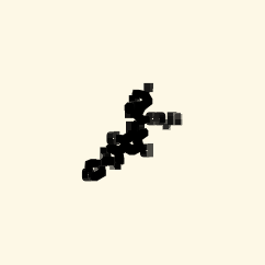 CCOC(=O)C(c1ncn2c1CC(F)C2)n1cc2c(Cl)cc(-c3cnc(N4CCOCC4)nc3)c(Cl)c2n1